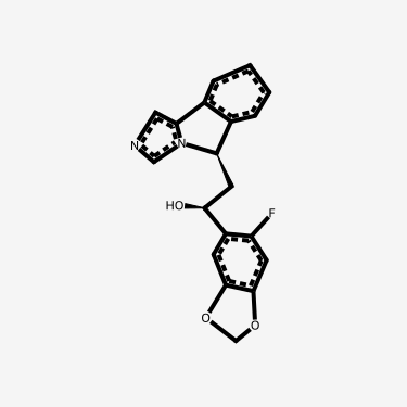 O[C@@H](C[C@@H]1c2ccccc2-c2cncn21)c1cc2c(cc1F)OCO2